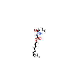 CCCCCCCOC(=O)CNC(C)=O